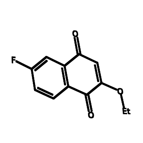 CCOC1=CC(=O)c2cc(F)ccc2C1=O